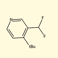 CC(C)(C)c1ccncc1C(F)F